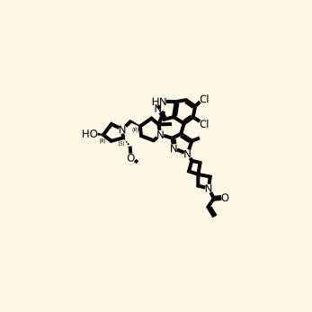 C=CC(=O)N1CC2(CC(n3nc(N4CC[C@@H](CN5C[C@H](O)C[C@H]5COC)CC4(C)C)c(-c4c(Cl)c(Cl)cc5[nH]ncc45)c3C)C2)C1